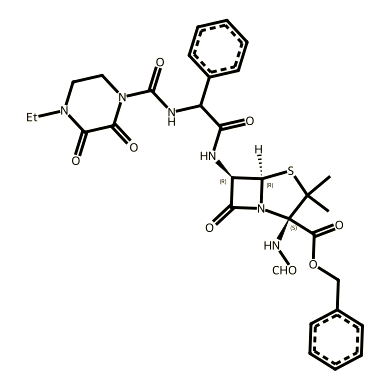 CCN1CCN(C(=O)NC(C(=O)N[C@@H]2C(=O)N3[C@@H]2SC(C)(C)[C@]3(NC=O)C(=O)OCc2ccccc2)c2ccccc2)C(=O)C1=O